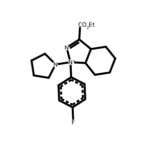 CCOC(=O)C1=N[N+](c2ccc(F)cc2)(N2CCCC2)C2CCCCC12